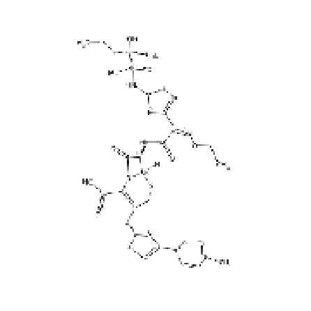 CCCC(C)(O)P(=O)(O)Nc1nc(/C(=N/OCC)C(=O)N[C@@H]2C(=O)N3C(C(=O)O)=C(Sc4nc(-c5cc[n+](C)cc5)cs4)CS[C@H]23)ns1